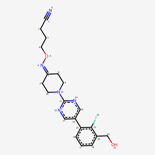 N#CCCCON=C1CCN(c2ncc(-c3cccc(CO)c3F)cn2)CC1